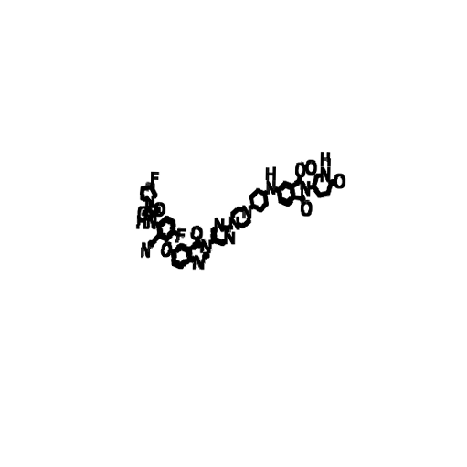 N#Cc1c(NS(=O)(=O)N2CC[C@@H](F)C2)ccc(F)c1Oc1ccc2ncn(-c3cnc(N4CCN(C5CCC(Nc6ccc7c(c6)C(=O)N(C6CCC(=O)NC6=O)C7=O)CC5)CC4)nc3)c(=O)c2c1